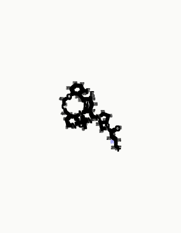 CC(C)c1nccc2c1-n1c(=O)nc(N3CCC4C3CN4C(=O)/C=C/CF)c3cc(F)c(nc31)-c1c(F)cccc1OCCC2